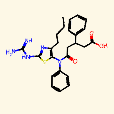 CCCCc1nc(NC(=N)N)sc1N(C(=O)CC(CC(=O)O)c1ccccc1)c1ccccc1